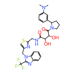 CN(C)c1cccc(C2CCCN2C(=O)C(O)C(O)C(=O)NCc2nc(Cn3c(C(F)(F)F)nc4ccccc43)cs2)c1